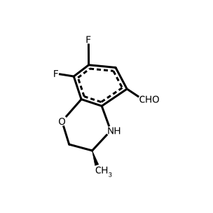 C[C@H]1COc2c(F)c(F)cc(C=O)c2N1